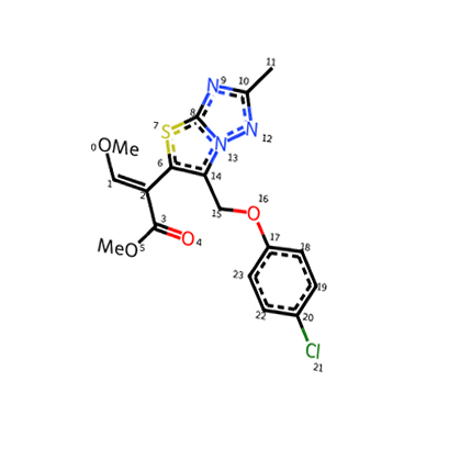 CO/C=C(/C(=O)OC)c1sc2nc(C)nn2c1COc1ccc(Cl)cc1